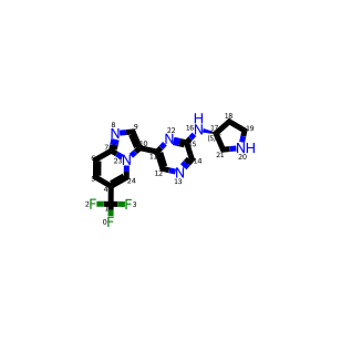 FC(F)(F)c1ccc2ncc(-c3cncc(N[C@H]4CCNC4)n3)n2c1